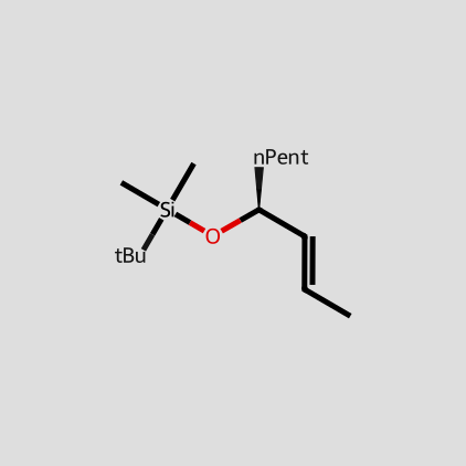 C/C=C/[C@H](CCCCC)O[Si](C)(C)C(C)(C)C